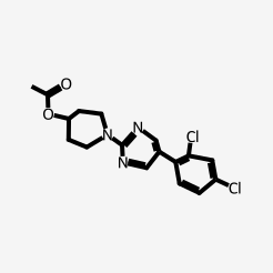 CC(=O)OC1CCN(c2ncc(-c3ccc(Cl)cc3Cl)cn2)CC1